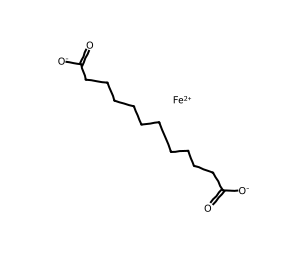 O=C([O-])CCCCCCCCCCC(=O)[O-].[Fe+2]